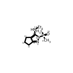 CCNc1c2c(nn1P(C)(C)=O)CCC2